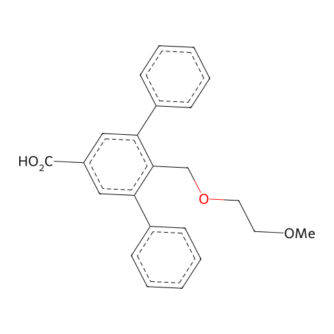 COCCOCc1c(-c2ccccc2)cc(C(=O)O)cc1-c1ccccc1